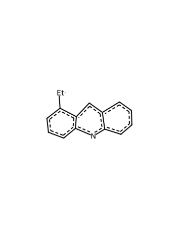 C[CH]c1cccc2nc3ccccc3cc12